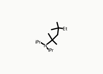 CCC(C)(C)CC(C)(C)N(C(C)C)C(C)C